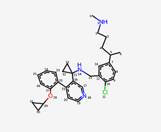 CNCCCC(C)c1ccc(Cl)c(CNC2(c3cnccc3-c3ccccc3OC3CC3)CC2)c1